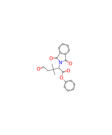 CC(C)(CC=O)C(C(=O)Oc1ccccc1)N1C(=O)c2ccccc2C1=O